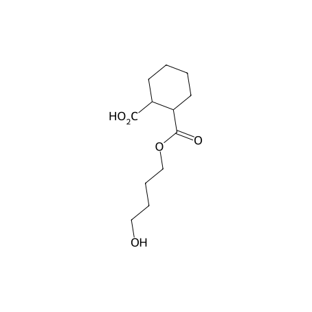 O=C(O)C1CCCCC1C(=O)OCCCCO